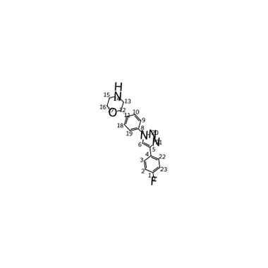 Fc1ccc(-c2cn(-c3ccc([C@H]4CNCCO4)cc3)nn2)cc1